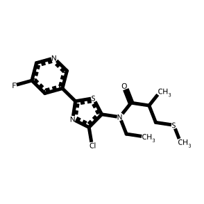 CCN(C(=O)C(C)CSC)c1sc(-c2cncc(F)c2)nc1Cl